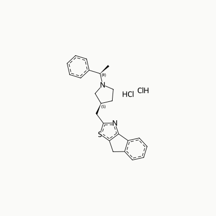 C[C@H](c1ccccc1)N1CC[C@@H](Cc2nc3c(s2)Cc2ccccc2-3)C1.Cl.Cl